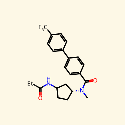 CCC(=O)NC1CC[C@@H](N(C)C(=O)c2ccc(-c3ccc(C(F)(F)F)cc3)cc2)C1